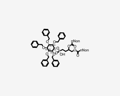 CCCCCCCCCC(=O)OCC(CCP(=O)(O)O[C@@H]1[C@@H](OCc2ccccc2)[C@H](OCc2ccccc2)[C@@H](OCc2ccccc2)[C@H](OCc2ccccc2)[C@@H]1OCc1ccccc1)OC(=O)CCCCCCCCC